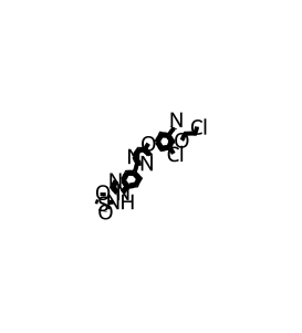 CS(=O)(=O)Nc1cnc2cc(-c3ncc(Oc4cc(Cl)c(OCCCl)c(C#N)c4)cn3)ccc2n1